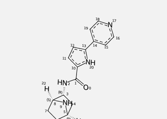 O=C(N[C@@H]1C[C@H]2CC[C@@H]1N2)c1ccc(-c2ccncc2)[nH]1